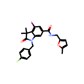 Cc1ccc(CNC(=O)c2cc(I)c3c(c2)N(Cc2ccc(F)cc2)C(=O)C3(C)C)o1